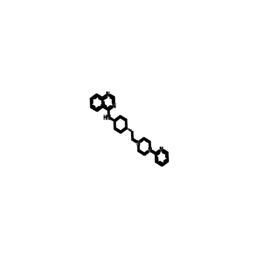 c1ccc(N2CCN(CC[C@H]3CC[C@H](Nc4ncnc5ccccc45)CC3)CC2)nc1